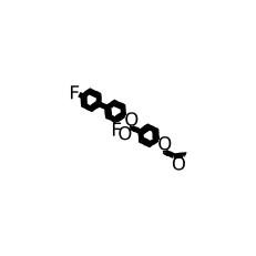 O=C(Oc1ccc(-c2ccc(F)cc2)cc1F)c1ccc(OCC2CO2)cc1